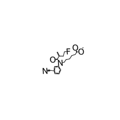 C=C(CCF)C(=O)N(CCCCCC(=O)OC)c1cccc(C#N)c1